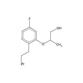 CC(C)CCc1ccc(F)cc1OC(C)CO